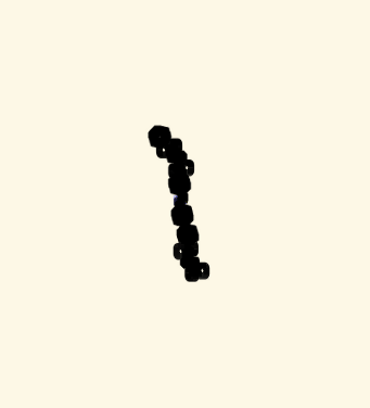 C=C(CC(=O)OC)C(=O)Oc1ccc(-c2ccc(/C=C/c3ccc(OC(=O)C(=C)CC(=O)OC4CCCCC4)cc3)cc2)cc1